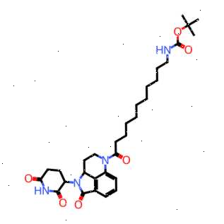 CC(C)(C)OC(=O)NCCCCCCCCCCC(=O)N1CCC2c3c(cccc31)C(=O)N2C1CCC(=O)NC1=O